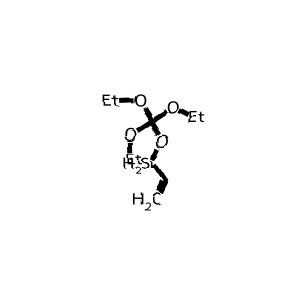 C=C[SiH2]OC(OCC)(OCC)OCC